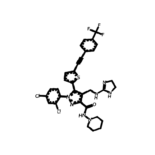 O=C(NN1CCCCC1)c1nn(-c2ccc(Cl)cc2Cl)c(-c2ccc(C#Cc3ccc(C(F)(F)F)cc3)s2)c1CNC1=NCCN1